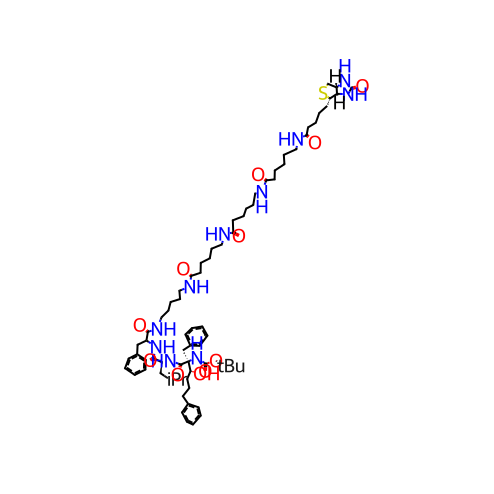 CC(C)C[C@H](NC(=O)[C@@](Cc1ccccc1)(NC(=O)OC(C)(C)C)[C@H](O)CCCc1ccccc1)C(=O)NC(Cc1ccccc1)C(=O)NCCCCCNC(=O)CCCCCNC(=O)CCCCCNC(=O)CCCCCNC(=O)CCCC[C@@H]1SC[C@@H]2NC(=O)N[C@@H]21